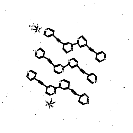 C(#Cc1ccnc(-c2cc(C#Cc3ccncc3)ccn2)c1)c1ccncc1.C(#Cc1ccnc(-c2cc(C#Cc3ccncc3)ccn2)c1)c1ccncc1.C(#Cc1ccnc(-c2cc(C#Cc3ccncc3)ccn2)c1)c1ccncc1.F[P-](F)(F)(F)(F)F.F[P-](F)(F)(F)(F)F.[Fe+2]